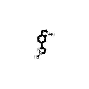 CCn1ccc2ccc(-c3ccn(S)n3)cc21